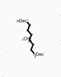 C.CCCCCCCCCCCCCCCCCCCCCCCCCC